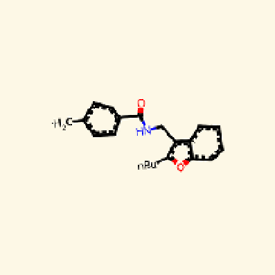 [CH2]c1ccc(C(=O)NCc2c(CCCC)oc3ccccc23)cc1